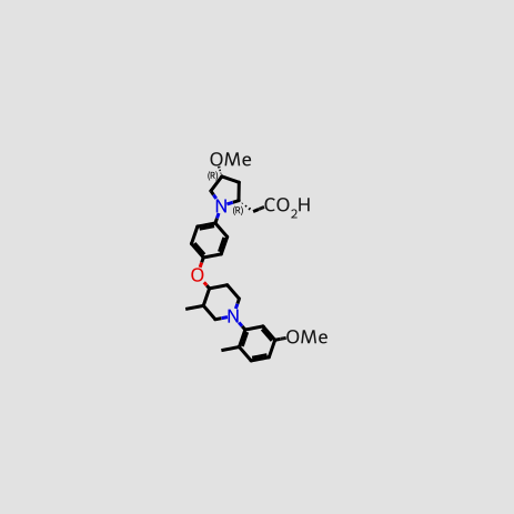 COc1ccc(C)c(N2CCC(Oc3ccc(N4C[C@H](OC)C[C@@H]4CC(=O)O)cc3)C(C)C2)c1